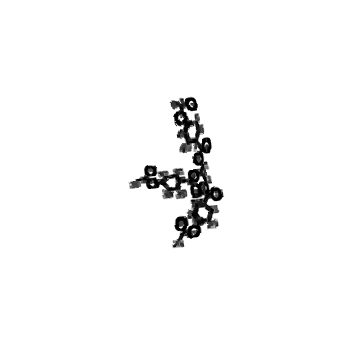 CC(=O)Oc1ccc(C(=O)OCC(COC(=O)c2ccc(OC(C)=O)cc2)OC(=O)c2ccc(OC(C)=O)cc2)cc1